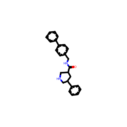 O=C(NCc1ccc(-c2ccccc2)cc1)C1CNCC(c2ccccc2)C1